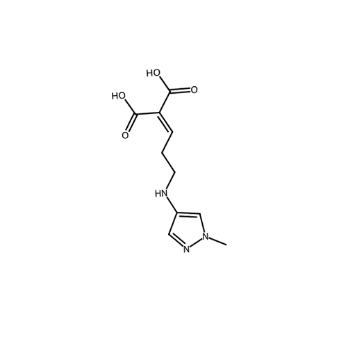 Cn1cc(NCCC=C(C(=O)O)C(=O)O)cn1